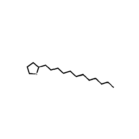 CCCCCCCCCCCCC1CCCS1